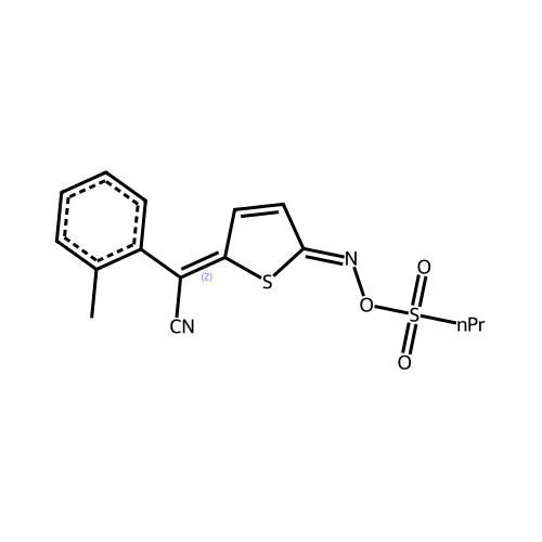 CCCS(=O)(=O)ON=C1C=C/C(=C(/C#N)c2ccccc2C)S1